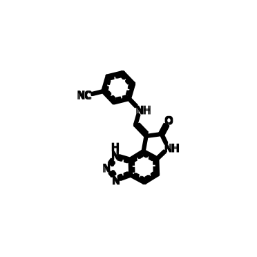 N#Cc1cccc(NC=C2C(=O)Nc3ccc4nn[nH]c4c32)c1